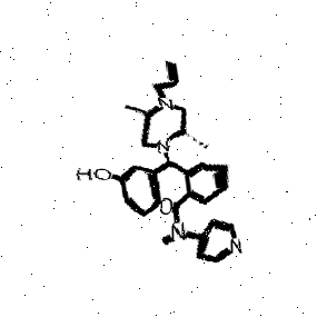 C=CCN1C[C@H](C)N([C@H](c2cccc(O)c2)c2ccccc2C(=O)N(C)c2ccncc2)C[C@H]1C